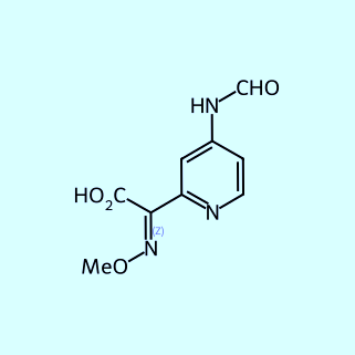 CO/N=C(\C(=O)O)c1cc(NC=O)ccn1